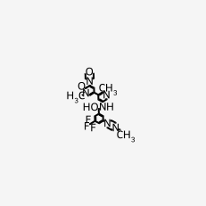 CCN1CCN(c2cc(C(O)Nc3cnc(C)c(-c4cc(N5CCOCC5)c(=O)n(C)c4)c3)cc(C(F)(F)F)c2)CC1